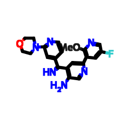 COc1ncc(F)cc1-c1cc(C(=N)c2ccnc(N3CCOCC3)c2)c(N)cn1